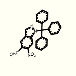 O=Cc1cc2cnn(C(c3ccccc3)(c3ccccc3)c3ccccc3)c2cc1[N+](=O)[O-]